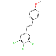 COc1ccc(C=Cc2cc(Cl)c(Cl)c(Cl)c2)cc1